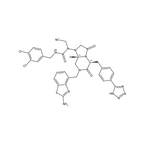 N#CCN(C(=O)NCc1ccc(Cl)c(Cl)c1)N1CC(=O)N2[C@@H](Cc3ccc(-c4nnn[nH]4)cc3)C(=O)N(Cc3cccc4sc(N)nc34)C[C@@H]21